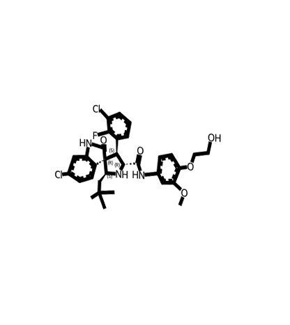 COc1cc(NC(=O)[C@@H]2N[C@@H](CC(C)(C)C)[C@@]3(C(=O)Nc4cc(Cl)ccc43)[C@H]2c2cccc(Cl)c2F)ccc1OCCO